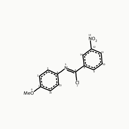 COc1ccc(/N=C(\Cl)c2cccc([N+](=O)[O-])c2)cc1